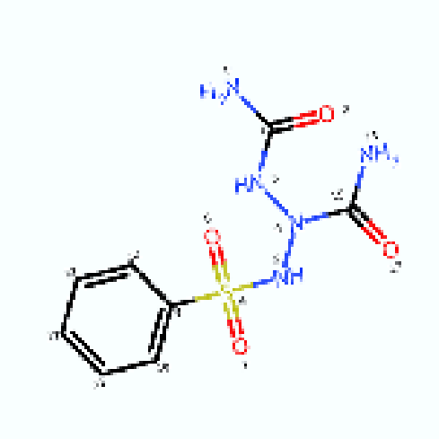 NC(=O)NN(NS(=O)(=O)c1ccccc1)C(N)=O